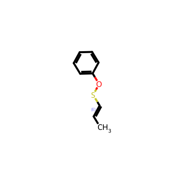 C/C=C/SOc1ccccc1